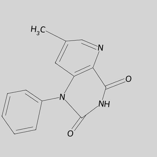 Cc1cnc2c(=O)[nH]c(=O)n(-c3ccccc3)c2c1